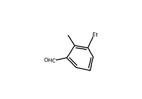 CCc1cccc(C=O)c1C